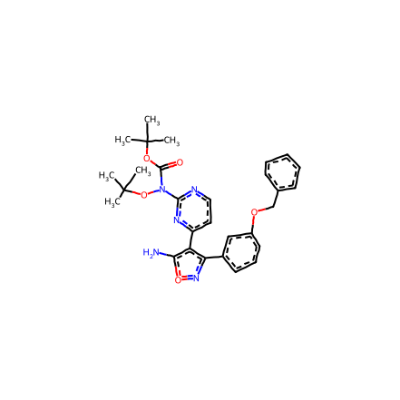 CC(C)(C)OC(=O)N(OC(C)(C)C)c1nccc(-c2c(-c3cccc(OCc4ccccc4)c3)noc2N)n1